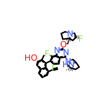 C#Cc1cccc2cc(O)c(C)c(-c3c(F)cc4c(N5CC6CC[C@@](C)(C5)N6)nc(OC[C@@]56CCCN5C[C@H](F)C6)nc4c3F)c12